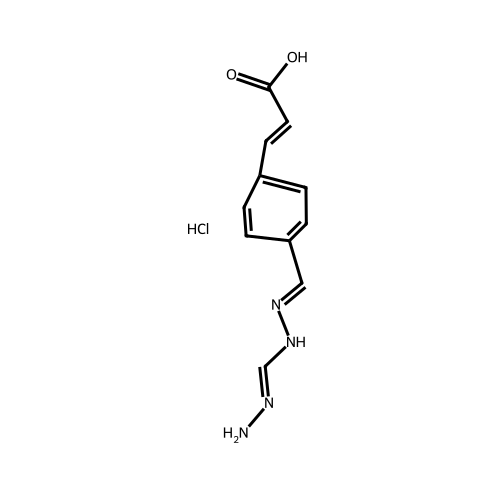 Cl.NN=CNN=Cc1ccc(C=CC(=O)O)cc1